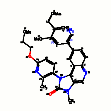 C=C(COC)/C(=C\C(=C/N)c1ccc2ncc3c(c2c1)n(-c1ccc(OCCOC)nc1C)c(=O)n3C)OC